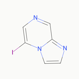 Ic1cncc2nccn12